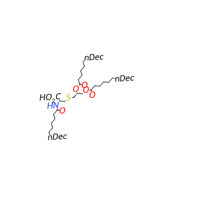 CCCCCCCCCCCCCCCC(=O)N[C@@H](CSC[C@H](COC(=O)CCCCCCCCCCCCCCC)OC(=O)CCCCCCCCCCCCCCC)C(=O)O